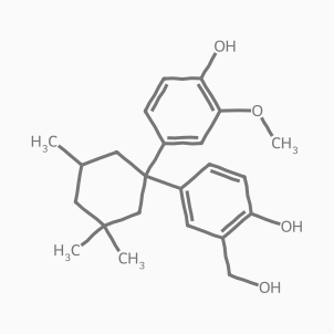 COc1cc(C2(c3ccc(O)c(CO)c3)CC(C)CC(C)(C)C2)ccc1O